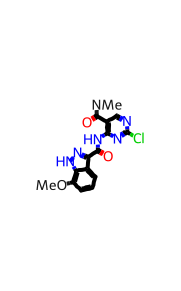 CNC(=O)c1cnc(Cl)nc1NC(=O)c1n[nH]c2c(OC)cccc12